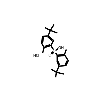 Cc1ccc(C(C)(C)C)cc1P(=O)(O)c1cc(C(C)(C)C)ccc1C.Cl